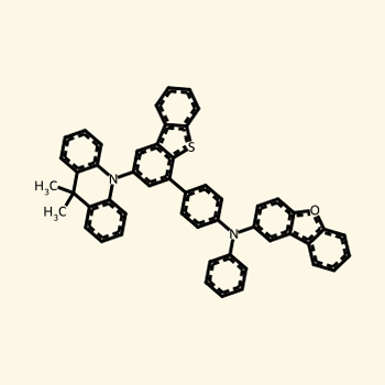 CC1(C)c2ccccc2N(c2cc(-c3ccc(N(c4ccccc4)c4ccc5oc6ccccc6c5c4)cc3)c3sc4ccccc4c3c2)c2ccccc21